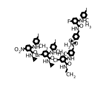 C=CCNC(=O)c1cc(Cl)ccc1Nc1ccc(I)cc1C.Cc1cc(I)ccc1Nc1ccc(Br)cc1C(=O)NC1CC1.Cc1cc(I)ccc1Nc1ccc(F)cc1C(=O)NCc1ccc(S(N)(=O)=O)cc1.Cc1cc(I)ccc1Nc1ccc([N+](=O)[O-])cc1C(=O)NC1CC1